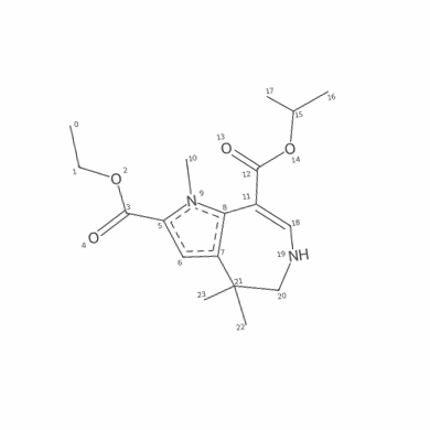 CCOC(=O)c1cc2c(n1C)C(C(=O)OC(C)C)=CNCC2(C)C